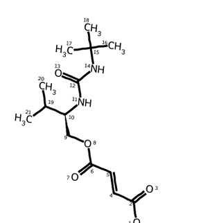 COC(=O)/C=C/C(=O)OC[C@H](NC(=O)NC(C)(C)C)C(C)C